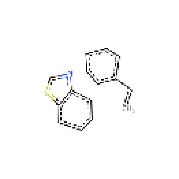 C=Cc1ccccc1.c1ccc2scnc2c1